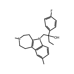 CCC(O)(Cn1c2c(c3cc(C)ccc31)CCN(C)CC2)c1ccc(F)cc1